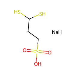 O=S(=O)(O)CCC(S)S.[NaH]